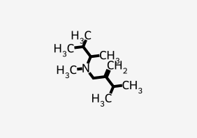 C=C(CN(C)C(C)C(C)C)C(C)C